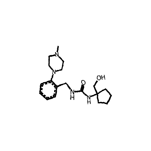 CN1CCN(c2ccccc2CNC(=O)NC2(CO)CCCC2)CC1